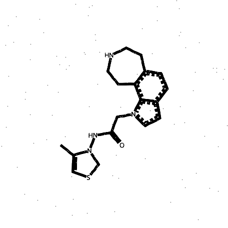 CC1=CSCN1NC(=O)Cn1ccc2ccc3c(c21)CCNCC3